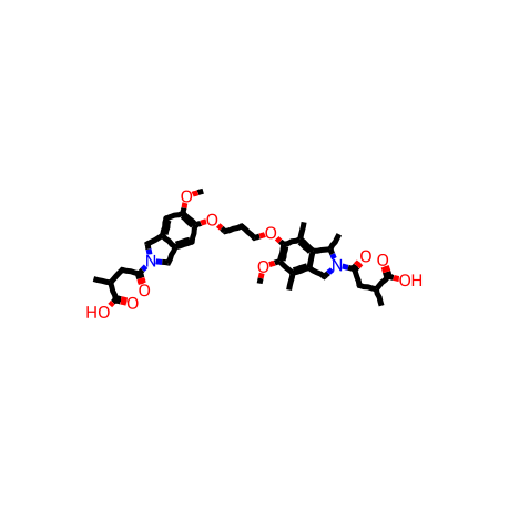 COc1cc2c(cc1OCCCOc1c(C)c3c(c(C)c1OC)CN(C(=O)CC(C)C(=O)O)C3C)CN(C(=O)CC(C)C(=O)O)C2